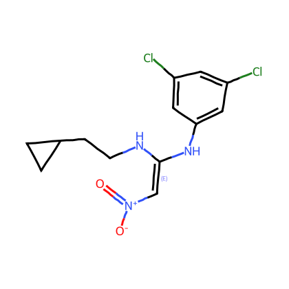 O=[N+]([O-])/C=C(\NCCC1CC1)Nc1cc(Cl)cc(Cl)c1